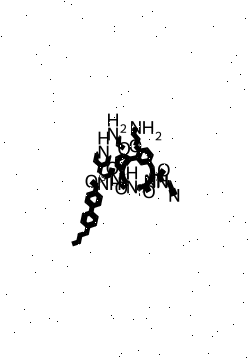 CCCCc1ccc(-c2ccc(C(=O)N[C@@H](CC3CCNCC3)C(=O)N(C)[C@@H]3C(=O)N[C@@H](C)C(=O)N[C@H](C(=O)NCC#N)Cc4ccc(OCCN)c(c4)-c4cc3ccc4OCCN)cc2)cc1